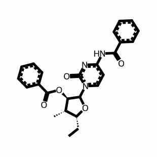 CC[C@H]1OC(n2ccc(NC(=O)c3ccccc3)nc2=O)[C@H](OC(=O)c2ccccc2)[C@H]1C